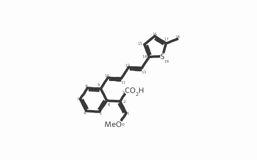 CO/C=C(/C(=O)O)c1ccccc1/C=C/C=C/c1ccc(C)s1